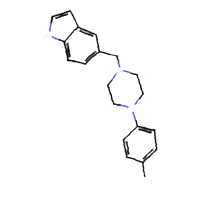 Cc1ccc(N2CCN(Cc3ccc4[nH]ccc4c3)CC2)cc1